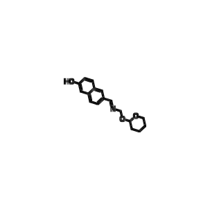 Oc1ccc2cc(C=NCOC3CCCCO3)ccc2c1